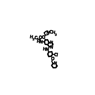 C=CC(=O)Nc1cc2c(Nc3ccc(OCc4ccccn4)c(Cl)c3)ncnc2cc1OC1CCN(C)C1